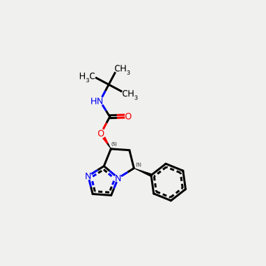 CC(C)(C)NC(=O)O[C@H]1C[C@@H](c2ccccc2)n2ccnc21